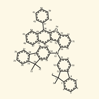 CC1(C)c2ccccc2-c2ccc(N(c3ccc4c(c3)C(C)(C)c3ccccc3-4)c3cccc4oc5c(-c6ccccc6)c6ccccc6cc5c34)cc21